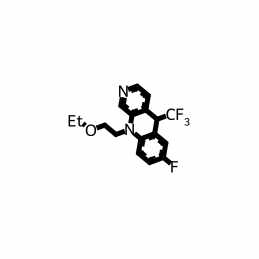 CCOCCN1c2ccc(F)cc2C(C(F)(F)F)c2ccncc21